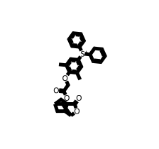 Cc1cc([S+](c2ccccc2)C2C=CC=CC2)cc(C)c1OCC(=O)OC1C2CC3C(=O)OC1C3C2